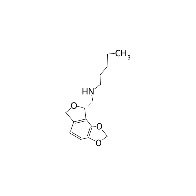 CCCCCNC[C@H]1OCc2ccc3c(c21)OCO3